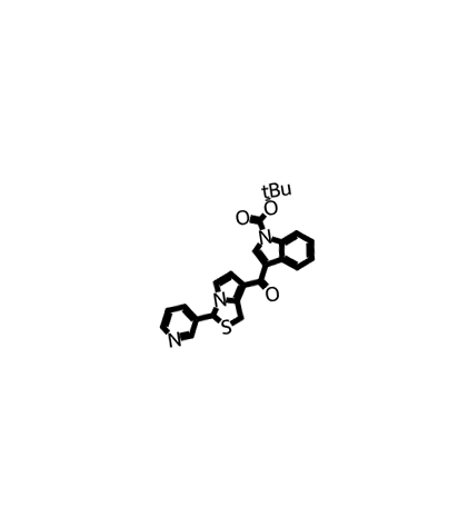 CC(C)(C)OC(=O)n1cc(C(=O)c2ccn3c2CSC3c2cccnc2)c2ccccc21